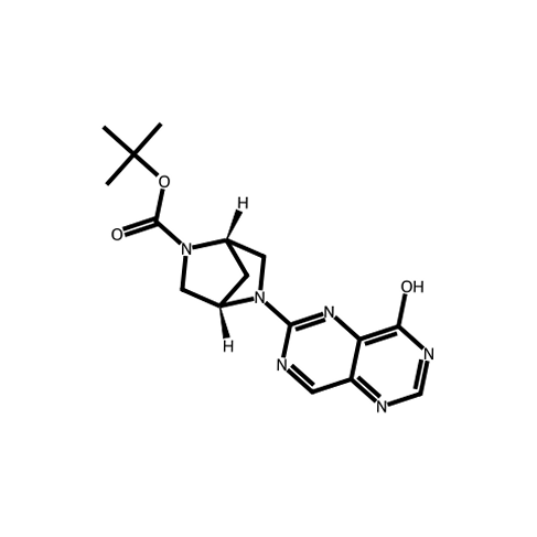 CC(C)(C)OC(=O)N1C[C@@H]2C[C@H]1CN2c1ncc2ncnc(O)c2n1